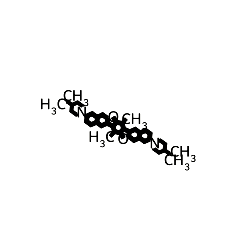 Cc1c2oc3cc4cc(N5CCC(C(C)C)CC5)ccc4cc3c2c(C)c2oc3cc4cc(N5CCC(C(C)C)CC5)ccc4cc3c12